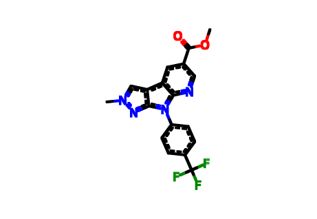 COC(=O)c1cnc2c(c1)c1cn(C)nc1n2-c1ccc(C(F)(F)F)cc1